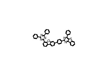 c1ccc(-c2nc(-c3ccccc3)nc(-c3cccc4c3oc3cc(-c5ccc(-c6nc(-c7ccccc7)c7sc8ccccc8c7n6)cc5)ccc34)n2)cc1